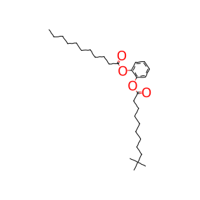 CCCCCCCCCCC(=O)Oc1ccccc1OC(=O)CCCCCCCCC(C)(C)C